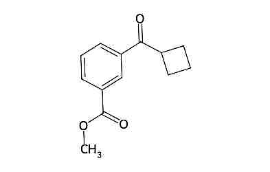 COC(=O)c1cccc(C(=O)C2CCC2)c1